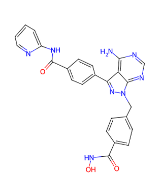 Nc1ncnc2c1c(-c1ccc(C(=O)Nc3ccccn3)cc1)nn2Cc1ccc(C(=O)NO)cc1